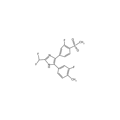 Cc1ccc(-c2[nH]c(C(F)F)nc2-c2ccc(S(C)(=O)=O)c(F)c2)cc1F